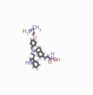 CN(C)CCOc1ccc(CN(CCc2c[nH]c3ccccc23)C2CCc3cc(/C=C/C(=O)NO)ccc32)cc1